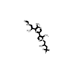 Cc1c(-c2cnc(N)c(/C(N)=C/NC=O)n2)cnn1CC(O)CC(F)(F)F